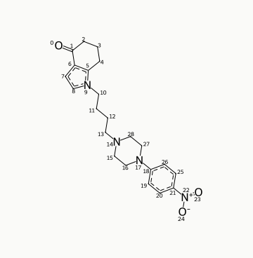 O=C1CCCc2c1ccn2CCCCN1CCN(c2ccc([N+](=O)[O-])cc2)CC1